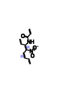 C=C/C=C\C(=C(/C=C)NC(=O)C=C)[N+](=O)[O-]